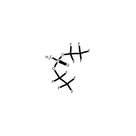 CP(=O)(OC(F)(F)C(F)(F)F)OC(F)(F)C(F)(F)F